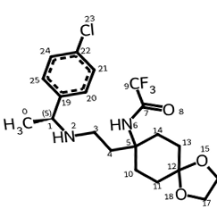 C[C@H](NCCC1(NC(=O)C(F)(F)F)CCC2(CC1)OCCO2)c1ccc(Cl)cc1